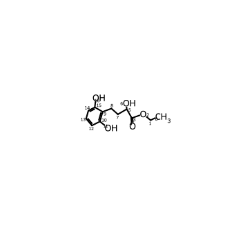 CCOC(=O)C(O)CCc1c(O)cccc1O